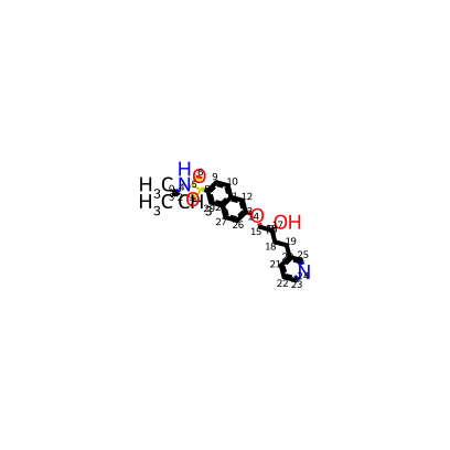 CC(C)(C)NS(=O)(=O)c1ccc2cc(OC[C@H](O)CCc3cccnc3)ccc2c1